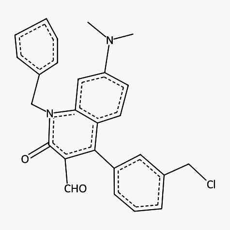 CN(C)c1ccc2c(-c3cccc(CCl)c3)c(C=O)c(=O)n(Cc3ccccc3)c2c1